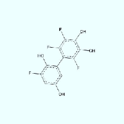 Oc1cc(F)c(O)c(-c2c(F)c(O)c(O)c(F)c2F)c1